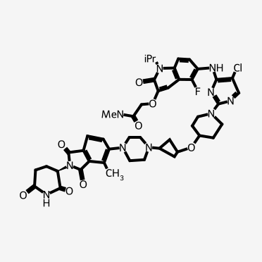 CNC(=O)COc1cc2c(F)c(Nc3nc(N4CCC(OC5CC(N6CCN(c7ccc8c(c7C)C(=O)N([C@@H]7CCC(=O)NC7=O)C8=O)CC6)C5)CC4)ncc3Cl)ccc2n(C(C)C)c1=O